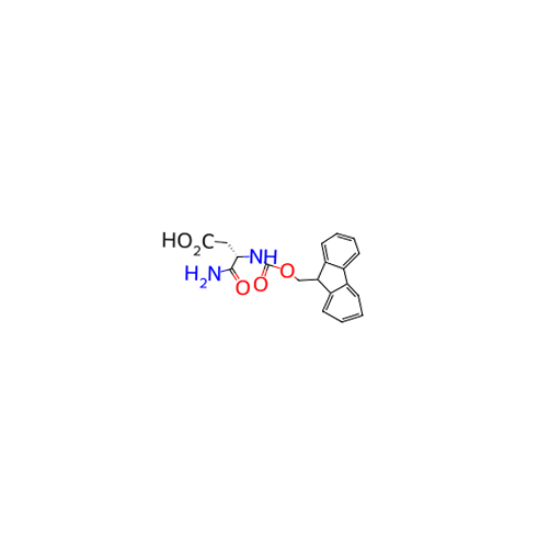 NC(=O)[C@H](CC(=O)O)NC(=O)OCC1c2ccccc2-c2ccccc21